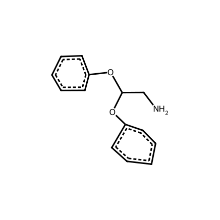 NCC(Oc1ccccc1)Oc1ccccc1